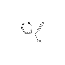 CCC#N.c1ccncc1